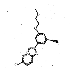 COCCOc1cc(C#N)cc(-c2cn3nc(Cl)ccc3n2)c1